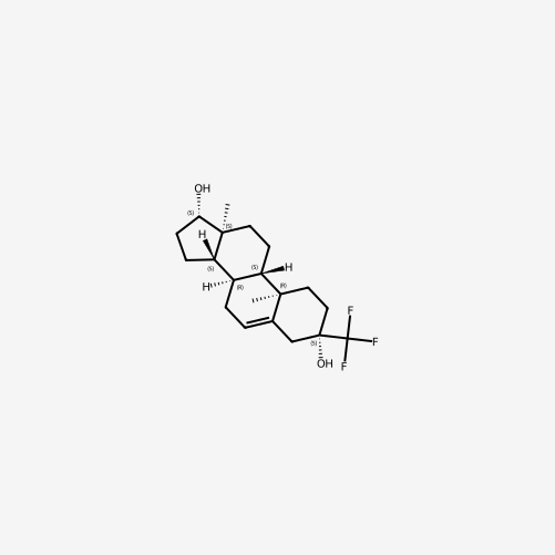 C[C@]12CC[C@H]3[C@@H](CC=C4C[C@](O)(C(F)(F)F)CC[C@@]43C)[C@@H]1CC[C@@H]2O